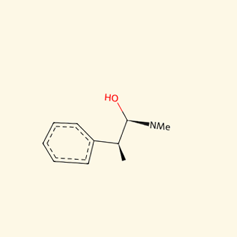 CN[C@H](O)[C@@H](C)c1ccccc1